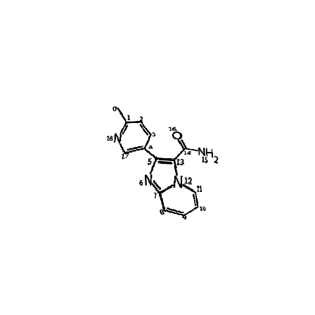 Cc1ccc(-c2nc3ccccn3c2C(N)=O)cn1